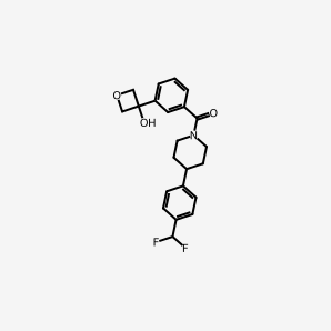 O=C(c1cccc(C2(O)COC2)c1)N1CCC(c2ccc(C(F)F)cc2)CC1